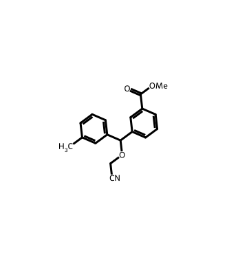 COC(=O)c1cccc(C(OCC#N)c2cccc(C)c2)c1